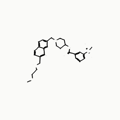 COCCOCc1ccc2ccc(CN3CCC(NC(=O)c4cccc(S(C)(=O)=O)c4)CC3)cc2c1